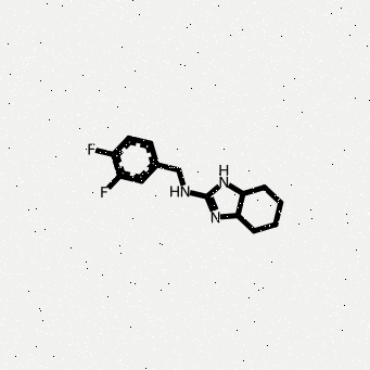 Fc1ccc(CNC2=NC3CCCCC3N2)cc1F